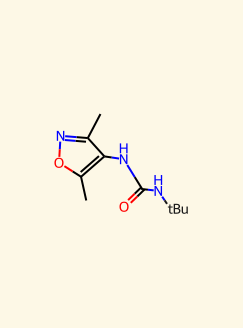 Cc1noc(C)c1NC(=O)NC(C)(C)C